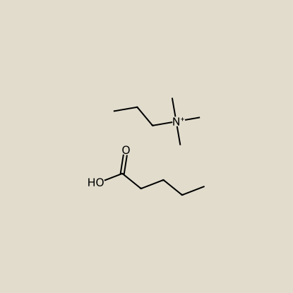 CCCCC(=O)O.CCC[N+](C)(C)C